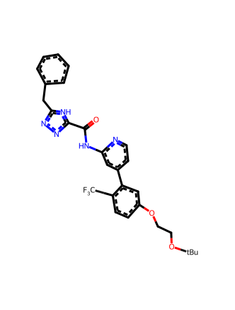 CC(C)(C)OCCOc1ccc(C(F)(F)F)c(-c2ccnc(NC(=O)c3nnc(Cc4ccccc4)[nH]3)c2)c1